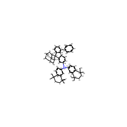 CC1(C)CCC(C)(C)c2cc(N(c3ccc4c(c3)C(C)(C)CCC4(C)C)c3ccc4c(c3)C3(c5cccc(-c6ccccc6)c5-4)C4CC5CC6CC3C64C5)ccc21